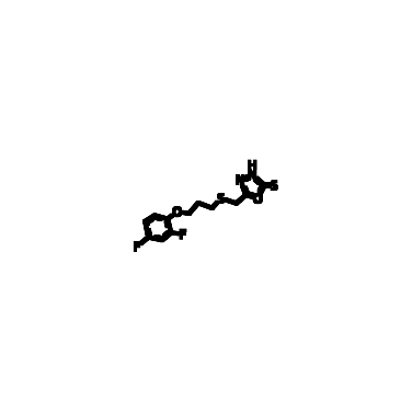 Fc1ccc(OCCCSCc2n[nH]c(=S)o2)c(F)c1